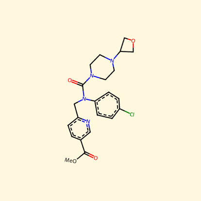 COC(=O)c1ccc(CN(C(=O)N2CCN(C3COC3)CC2)c2ccc(Cl)cc2)nc1